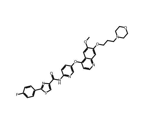 COc1cc2c(Oc3ccc(NC(=O)c4csc(-c5ccc(F)cc5)n4)nc3)ccnc2cc1OCCCN1CCOCC1